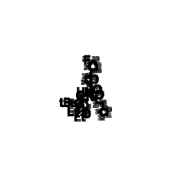 CCOC(C[C@@H](C(=O)OC(C)(C)C)N(NC(=O)c1ccc(-c2cccc(F)c2)o1)C(=O)CCC1CCCC1)OCC